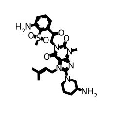 CC(C)=CCn1c(N2CCCC(N)C2)nc2c1c(=O)n(CC(=O)c1cccc(N)c1S(C)(=O)=O)c(=O)n2C